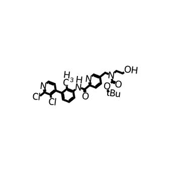 Cc1c(NC(=O)c2ccc(CN(CCO)C(=O)OC(C)(C)C)cn2)cccc1-c1ccnc(Cl)c1Cl